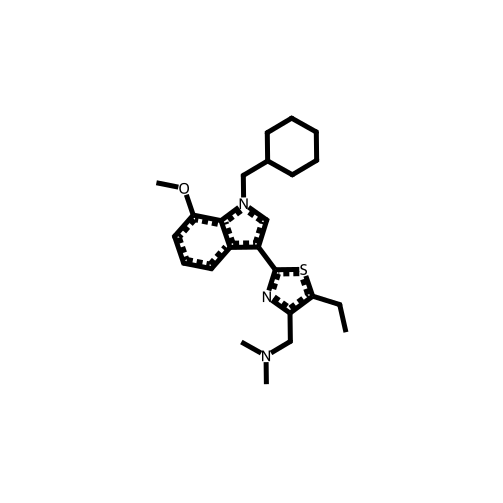 CCc1sc(-c2cn(CC3CCCCC3)c3c(OC)cccc23)nc1CN(C)C